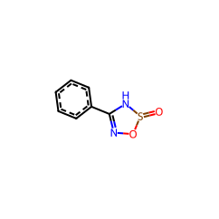 O=S1NC(c2ccccc2)=NO1